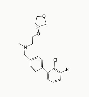 CN(CCO[C@H]1CCOC1)Cc1ccc(-c2cccc(Br)c2Cl)cc1